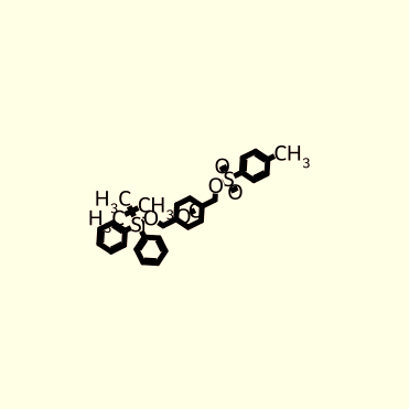 Cc1ccc(S(=O)(=O)OCC23CCC(CO[Si](c4ccccc4)(c4ccccc4)C(C)(C)C)(CC2)OC3)cc1